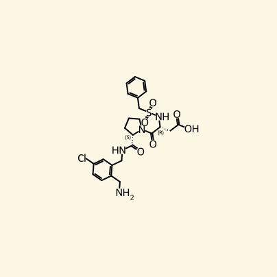 NCc1ccc(Cl)cc1CNC(=O)[C@@H]1CCCN1C(=O)[C@@H](CC(=O)O)NS(=O)(=O)Cc1ccccc1